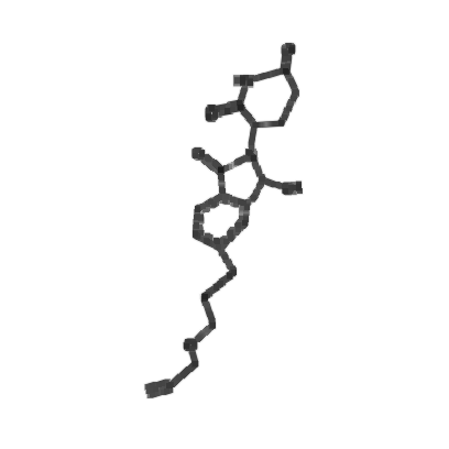 C#CCOCCCc1ccc2c(c1)C(O)N(C1CCC(=O)NC1=O)C2=O